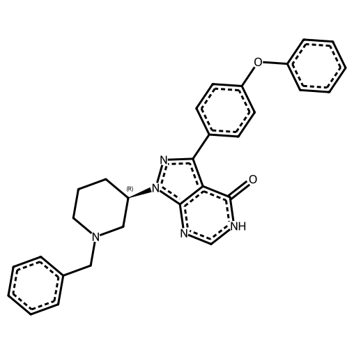 O=c1[nH]cnc2c1c(-c1ccc(Oc3ccccc3)cc1)nn2[C@@H]1CCCN(Cc2ccccc2)C1